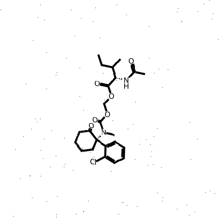 CCC(C)[C@H](NC(C)=O)C(=O)OCOC(=O)N(C)[C@]1(c2ccccc2Cl)CCCCC1=O